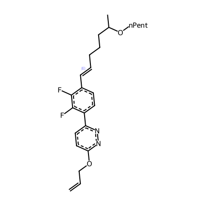 C=CCOc1ccc(-c2ccc(/C=C/CCCC(C)OCCCCC)c(F)c2F)nn1